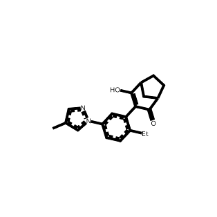 CCc1ccc(-n2cc(C)cn2)cc1C1=C(O)C2CCC(C2)C1=O